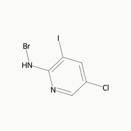 Clc1cnc(NBr)c(I)c1